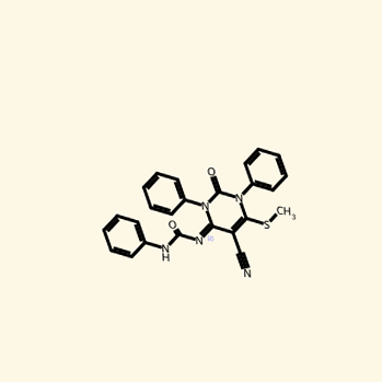 CSc1c(C#N)/c(=N/C(=O)Nc2ccccc2)n(-c2ccccc2)c(=O)n1-c1ccccc1